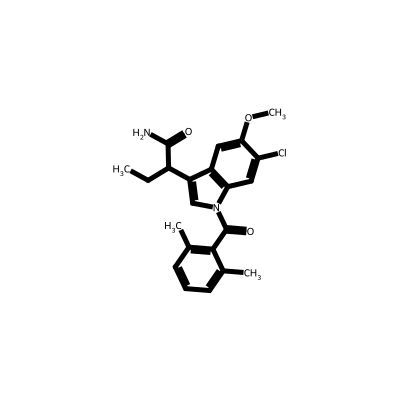 CCC(C(N)=O)c1cn(C(=O)c2c(C)cccc2C)c2cc(Cl)c(OC)cc12